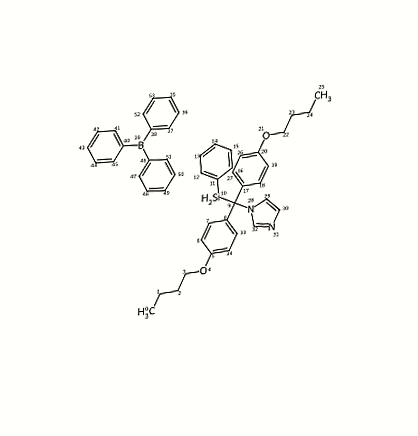 CCCCOc1ccc(C([SiH2]c2ccccc2)(c2ccc(OCCCC)cc2)n2ccnc2)cc1.c1ccc(B(c2ccccc2)c2ccccc2)cc1